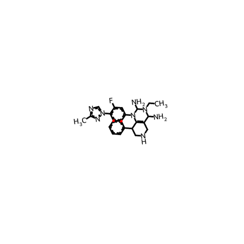 CCN1C(N)C2=C(C(c3ccccc3)CNC2)N(c2ccc(-n3cnc(C)n3)c(F)c2)C1N